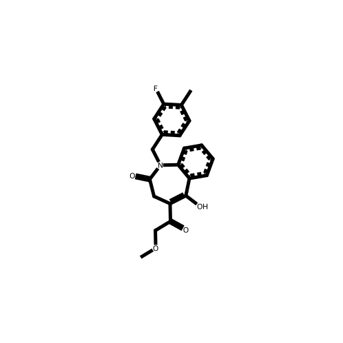 COCC(=O)C1=C(O)c2ccccc2N(Cc2ccc(C)c(F)c2)C(=O)C1